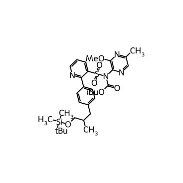 COc1nc(C)cnc1N(C(=O)OCC(C)C)S(=O)(=O)c1cccnc1-c1ccc(CC(C)CO[Si](C)(C)C(C)(C)C)cc1